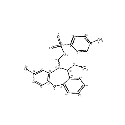 Cc1ccc(S(=O)(=O)OCC2c3cc(Cl)ccc3Oc3ccccc3C2C[N+](=O)[O-])cc1